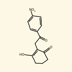 O=C1CCCC(O)=C1CC(=O)c1ccc([N+](=O)[O-])cc1